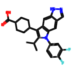 CC(C)c1c(C2CCC(C(=O)O)CC2)c2cc3[nH]ncc3cc2n1-c1ccc(F)c(F)c1